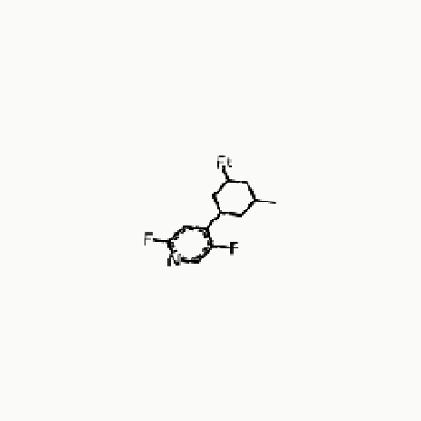 CCC1CC(C)CC(c2cc(F)ncc2F)C1